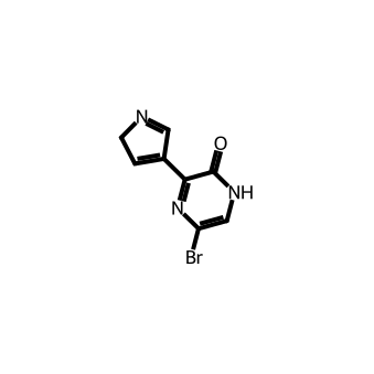 O=c1[nH]cc(Br)nc1C1=CCN=C1